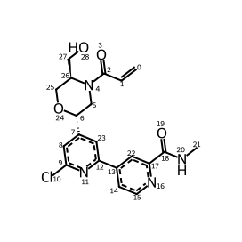 C=CC(=O)N1C[C@H](c2cc(Cl)nc(-c3ccnc(C(=O)NC)c3)c2)OC[C@H]1CO